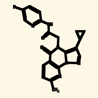 Cc1ccc2c(=O)n(CC(=O)Nc3ccc(F)cn3)c3c(C4CC4)cnn3c2n1